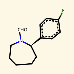 O=CN1CCCCC[C@@H]1c1ccc(F)cc1